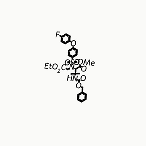 CCOC(=O)CN([C@H](C(=O)OC)C(C)(C)NC(=O)OCc1ccccc1)S(=O)(=O)c1ccc(Oc2ccc(F)cc2)cc1